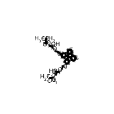 C=C(C)C(=O)OCC(O)COCCOc1ccc(C2(c3ccc(OCCOCC(O)COC(=O)C(=C)C)cc3)c3ccccc3-c3ccccc32)cc1